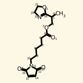 CC(COC(=O)CCCCCN1C(=O)C=CC1=O)C1=NCCO1